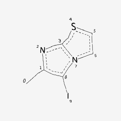 Cc1nc2sccn2c1I